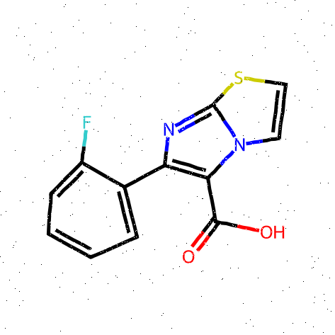 O=C(O)c1c(-c2ccccc2F)nc2sccn12